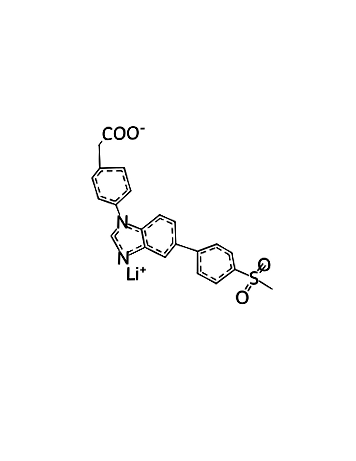 CS(=O)(=O)c1ccc(-c2ccc3c(c2)ncn3-c2ccc(CC(=O)[O-])cc2)cc1.[Li+]